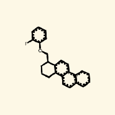 Fc1ccccc1OCC1CCCc2c1ccc1c2ccc2ccccc21